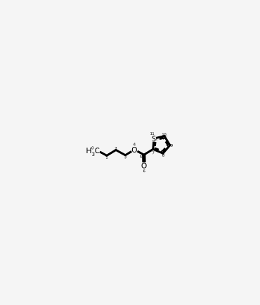 CCCCOC(=O)c1cc[c]s1